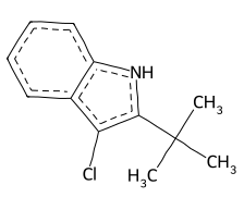 CC(C)(C)c1[nH]c2ccccc2c1Cl